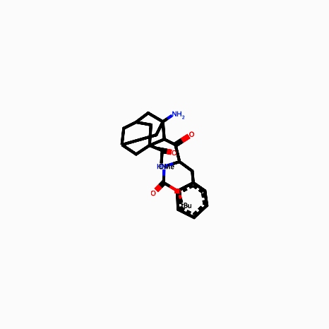 COC(=O)C12CC3CC(CC(N)(C3)C1C(=O)C(Cc1ccccc1)NC(=O)OC(C)(C)C)C2